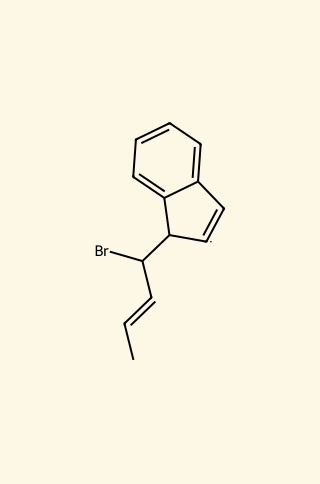 CC=CC(Br)C1[C]=Cc2ccccc21